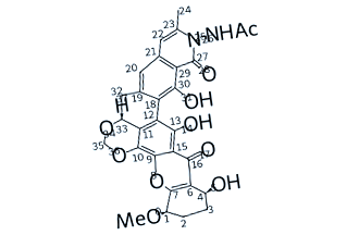 CO[C@@H]1CC[C@H](O)c2c1oc1c3c4c(c(O)c1c2=O)-c1c(cc2cc(C)n(NC(C)=O)c(=O)c2c1O)C[C@H]4OCO3